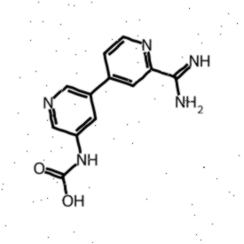 N=C(N)c1cc(-c2cncc(NC(=O)O)c2)ccn1